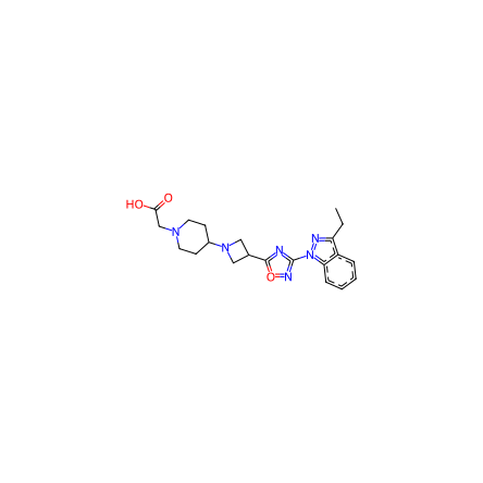 CCc1nn(-c2noc(C3CN(C4CCN(CC(=O)O)CC4)C3)n2)c2ccccc12